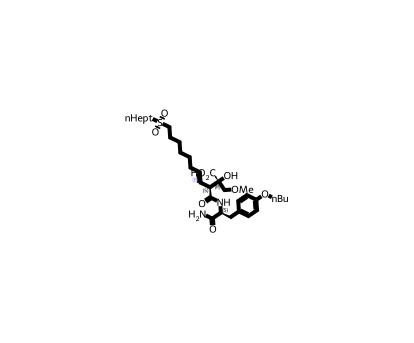 CCCCCCCS(=O)(=O)CCCCCC/C=C/[C@H](C(=O)N[C@@H](Cc1ccc(OCCCC)cc1)C(N)=O)[C@@](O)(COC)C(=O)O